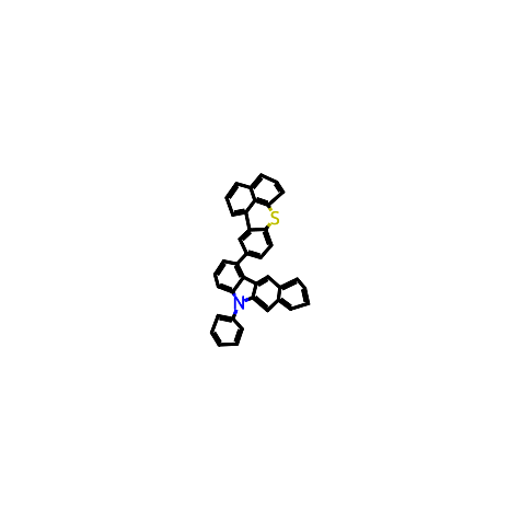 c1ccc(-n2c3cc4ccccc4cc3c3c(-c4ccc5c(c4)-c4cccc6cccc(c46)S5)cccc32)cc1